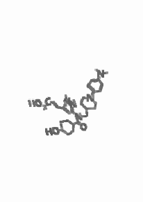 CN(C)c1ccc(N2CCC(CN(C(=O)C3CCC(O)CC3)c3cc(C=CC(=O)O)n(C)n3)CC2)cc1